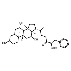 CCCCCCCCN(Cc1ccccc1)C(=O)CCC(C)[C@H]1CC[C@H]2C3[C@H](O)CC4C[C@H](O)CC[C@]4(C)[C@H]3C[C@H](O)[C@]12C